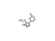 O=C(O)c1[nH]nnc1-c1cccc(F)c1